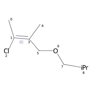 C/C(Cl)=C(\C)COCC(C)C